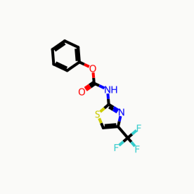 O=C(Nc1nc(C(F)(F)F)cs1)Oc1ccccc1